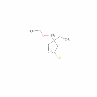 CCO[SiH2]C(CC)(CC)CCS